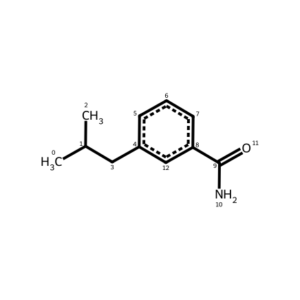 CC(C)Cc1cccc(C(N)=O)c1